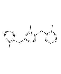 Cc1ccccc1Cc1ccc(Cc2ccccc2C)c(C)c1